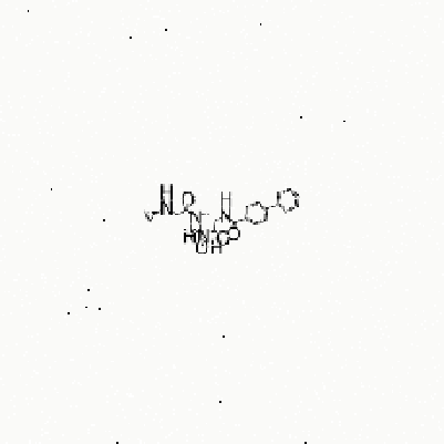 O=C(CNC1CC1)NC[C@H](NC(=O)c1ccc(-c2ccccc2)cc1)C(=O)NO